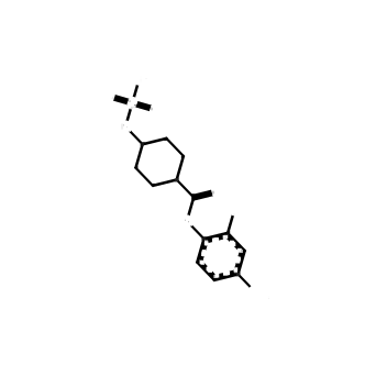 Cc1ccc(NC(=O)C2CCC(NS(=O)(=O)C(C)C)CC2)c(Cl)c1